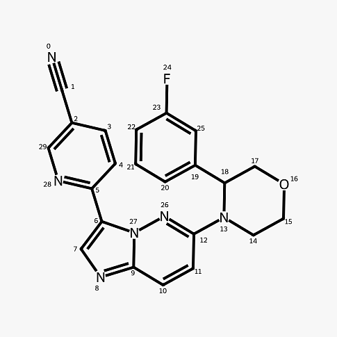 N#Cc1ccc(-c2cnc3ccc(N4CCOCC4c4cccc(F)c4)nn23)nc1